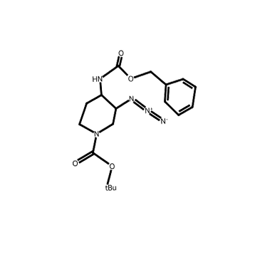 CC(C)(C)OC(=O)N1CCC(NC(=O)OCc2ccccc2)C(N=[N+]=[N-])C1